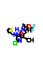 [2H]C([2H])(OC(F)F)[C@H](N)Cc1oc2c(NCc3cccs3)cc(Cl)nc2c1C#C